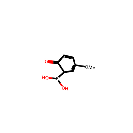 COC1=CC(B(O)O)C(=O)C=C1